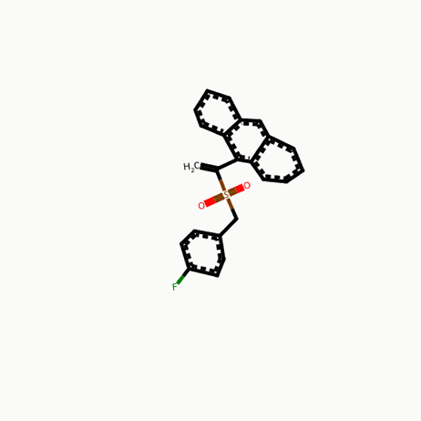 C=C(c1c2ccccc2cc2ccccc12)S(=O)(=O)Cc1ccc(F)cc1